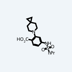 CCCS(=O)(=O)Nc1ccc(C(=O)O)c(N2CCC3(CC2)CC3)c1